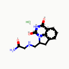 Cl.NC(=O)CNCC1Cc2cccc3c(=O)[nH]c(=O)n1c23